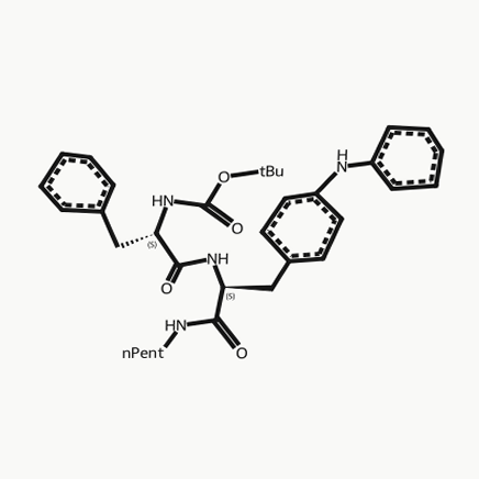 CCCCCNC(=O)[C@H](Cc1ccc(Nc2ccccc2)cc1)NC(=O)[C@H](Cc1ccccc1)NC(=O)OC(C)(C)C